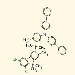 Cc1ccc(N(c2ccc(-c3ccccc3)cc2)c2ccc(-c3ccccc3)cc2)cc1C(C)(C)c1cc2c(cc1C)C(C)(C)c1c(Cl)cc(Cl)cc1-2